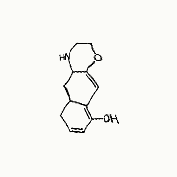 OC1=C2C=C3OCCNC3CC2CC=C1